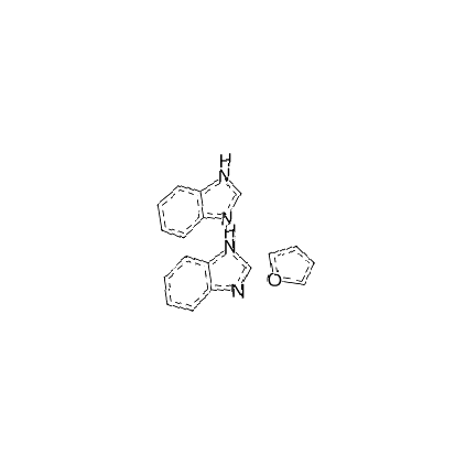 c1ccc2[nH]cnc2c1.c1ccc2[nH]cnc2c1.c1ccoc1